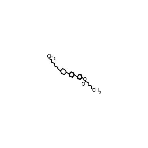 CCCCCCCCC1CCC(c2ccc(-c3ccc(OC(=O)CCCCC)cc3)cc2)CC1